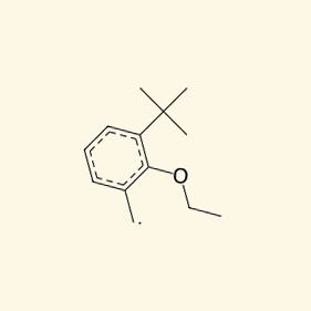 [CH2]c1cccc(C(C)(C)C)c1OCC